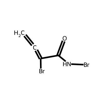 C=C=C(Br)C(=O)NBr